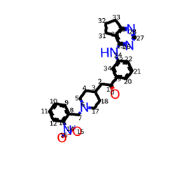 O=C(CC1CCN(Cc2ccccc2[N+](=O)[O-])CC1)c1cccc(Nc2ncnc3c2CCC3)c1